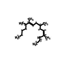 CCCCC(C)/C(C)=C/CC(C)C/C=C(/C)PCC